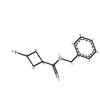 O=C(OCc1ccccc1)C1CC(F)C1